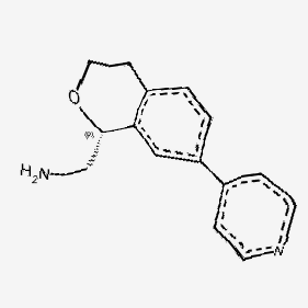 NC[C@@H]1OCCc2ccc(-c3ccncc3)cc21